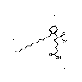 CCCCCCCCCCCCc1ccccc1C(SCCCC(=O)O)C(=O)OC